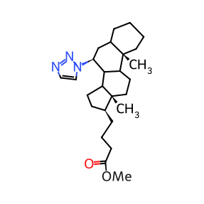 COC(=O)CCC[C@H]1CCC2C3C(CC[C@@]21C)[C@@]1(C)CCCCC1C[C@@H]3n1ccnn1